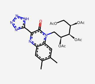 CC(=O)OC[C@@H](OC(C)=O)[C@@H](OC(C)=O)[C@H](Cn1c(=O)c(-c2nnn[nH]2)nc2cc(C)c(C)cc21)OC(C)=O